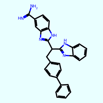 N=C(N)c1ccc2[nH]c(C(Cc3ccc(-c4ccccc4)cc3)c3nc4ccccc4[nH]3)nc2c1